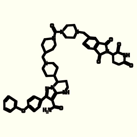 NC(=O)c1c(-c2ccc(Oc3ccccc3)cc2)nn2c1NCCC2C1CCN(CC2CCN(C(=O)N3CCN(Cc4ccc5c(c4)C(=O)N(C4CCC(=O)NC4=O)C5=O)CC3)CC2)CC1